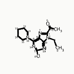 CCn1c(C(C)=O)nc2c(N3CCCCC3)nc(Cl)nc21